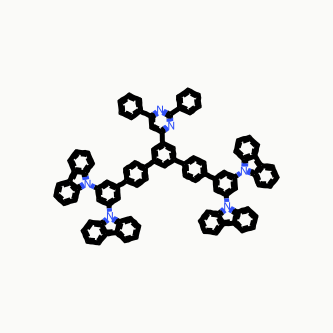 c1ccc(-c2cc(-c3cc(-c4ccc(-c5cc(-n6c7ccccc7c7ccccc76)cc(-n6c7ccccc7c7ccccc76)c5)cc4)cc(-c4ccc(-c5cc(-n6c7ccccc7c7ccccc76)cc(-n6c7ccccc7c7ccccc76)c5)cc4)c3)nc(-c3ccccc3)n2)cc1